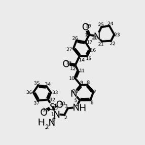 NN(CCNc1cccc(C=CC(=O)c2ccc(C(=O)N3CCCCC3)cc2)n1)S(=O)(=O)c1ccccc1